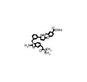 COC(=O)c1cccc(Cn2nc(-c3cccc(Cn4c(N)nc5cc(CC(=O)N(C)C)ccc54)c3)ccc2=O)c1